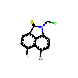 N#Cc1ccc2c3c(ccc(C#N)c13)N(CCl)C2=S